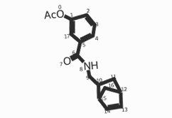 CC(=O)Oc1cccc(C(=O)NCC2CC3C=CC2C3)c1